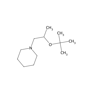 CC(CN1CCCCC1)OC(C)(C)C